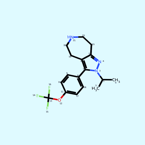 CC(C)n1nc2c(c1-c1ccc(OC(F)(F)F)cc1)CCNCC2